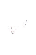 COc1cc2c(cc1OCCCCCCOc1ccc(F)c(Oc3cc(OC)c(OC)c(OC)c3)c1)N=C[C@@H]1CCCN1C2=O